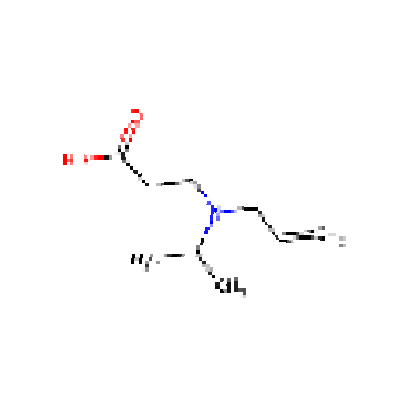 C=CCN(CCC(=O)O)C(C)C